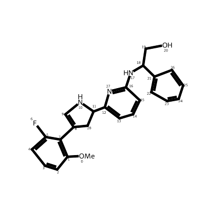 COc1cccc(F)c1C1=CNC(c2cccc(NC(CO)c3ccccc3)n2)C1